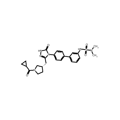 CN(C)S(=O)(=O)Nc1cccc(-c2ccc(-n3c(C[C@@H]4CCN(C(=O)C5CC5)C4)n[nH]c3=O)cc2)c1